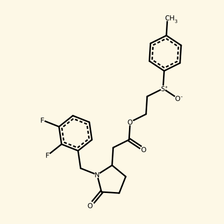 Cc1ccc([S+]([O-])CCOC(=O)CC2CCC(=O)N2Cc2cccc(F)c2F)cc1